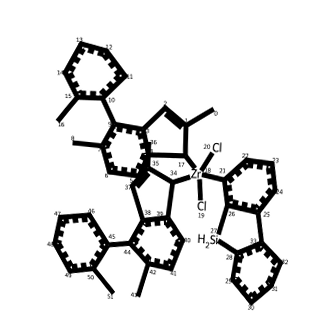 CC1=Cc2c(ccc(C)c2-c2ccccc2C)[CH]1[Zr]([Cl])([Cl])([c]1cccc2c1[SiH2]c1ccccc1-2)[CH]1C(C)=Cc2c1ccc(C)c2-c1ccccc1C